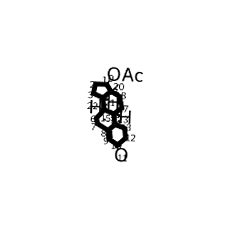 CC(=O)O[C@H]1CC[C@H]2[C@@H]3CCC4=CC(=O)CC[C@]4(C)[C@H]3CC[C@]12C